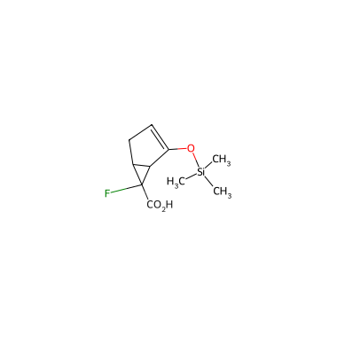 C[Si](C)(C)OC1=CCC2C1C2(F)C(=O)O